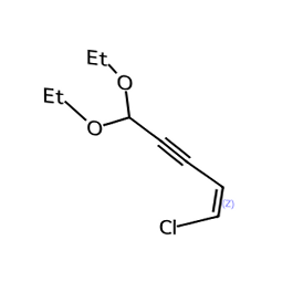 CCOC(C#C/C=C\Cl)OCC